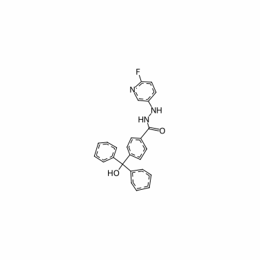 O=C(NNc1ccc(F)nc1)c1ccc(C(O)(c2ccccc2)c2ccccc2)cc1